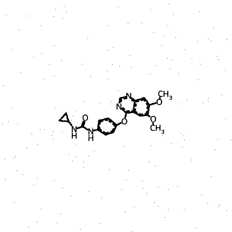 COc1cc2ncnc(Oc3ccc(NC(=O)NC4CC4)cc3)c2cc1OC